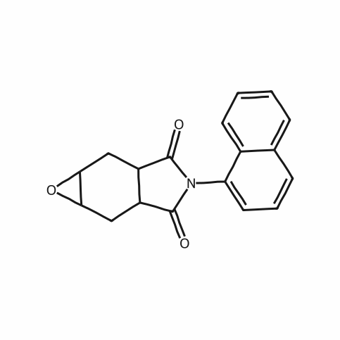 O=C1C2CC3OC3CC2C(=O)N1c1cccc2ccccc12